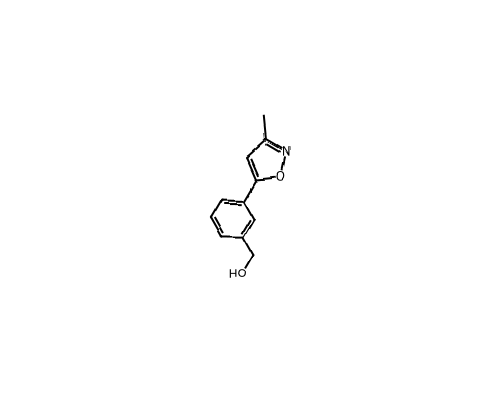 Cc1cc(-c2cccc(CO)c2)on1